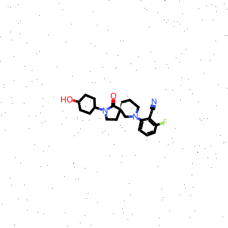 N#Cc1c(F)cccc1N1CCC[C@@]2(CCN(C3CCC(O)CC3)C2=O)C1